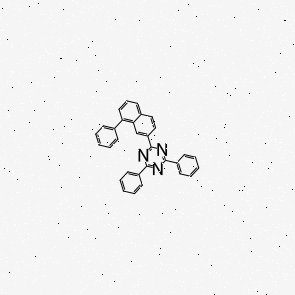 c1ccc(-c2nc(-c3ccccc3)nc(-c3ccc4cccc(-c5ccccc5)c4c3)n2)cc1